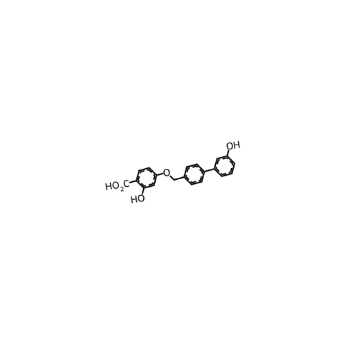 O=C(O)c1ccc(OCc2ccc(-c3cccc(O)c3)cc2)cc1O